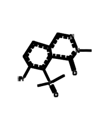 CC(C)c1ccc2cnn(C)c(=O)c2c1P(C)(C)=O